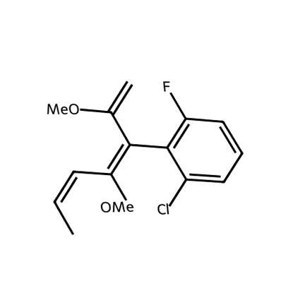 C=C(OC)/C(=C(\C=C/C)OC)c1c(F)cccc1Cl